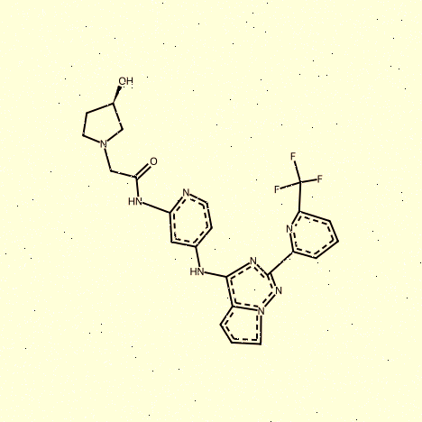 O=C(CN1CC[C@@H](O)C1)Nc1cc(Nc2nc(-c3cccc(C(F)(F)F)n3)nn3cccc23)ccn1